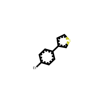 CCc1ccc(-c2ccsc2)cc1